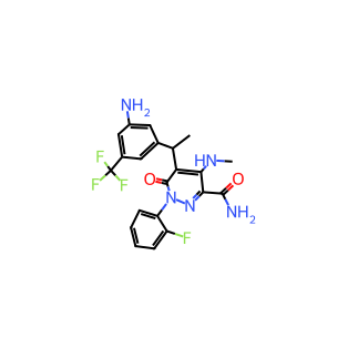 CNc1c(C(N)=O)nn(-c2ccccc2F)c(=O)c1C(C)c1cc(N)cc(C(F)(F)F)c1